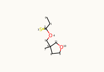 CCC(=S)OCC1(C)CCOC1